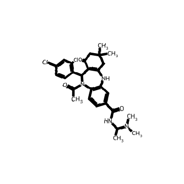 CC(=O)N1c2ccc(C(=O)NC(C)N(C)C)cc2NC2=C(C(=O)CC(C)(C)C2)C1c1ccc(Cl)cc1Cl